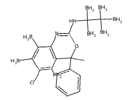 Bc1c(B)c2c(c(B)c1Cl)C(C)(c1ccccc1)OC(NC(B)(B)C(B)(B)B)=N2